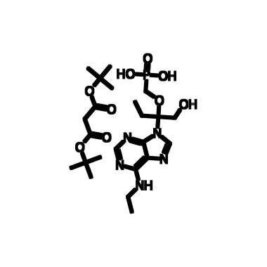 CC(C)(C)OC(=O)CC(=O)OC(C)(C)C.CCNc1ncnc2c1ncn2C(CC)(CO)OCP(=O)(O)O